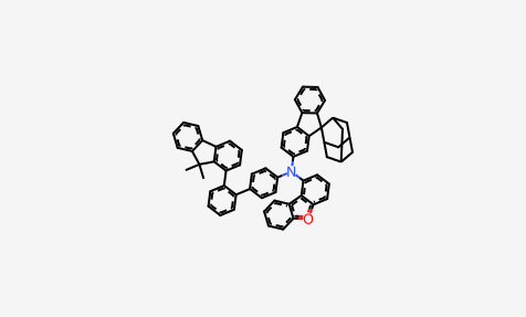 CC1(C)c2ccccc2-c2cccc(-c3ccccc3-c3ccc(N(c4ccc5c(c4)C4(c6ccccc6-5)C5CC6CC(C5)CC4C6)c4cccc5oc6ccccc6c45)cc3)c21